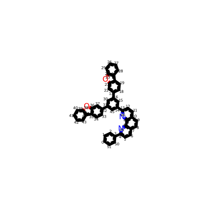 c1ccc(-c2ccc3ccc4ccc(-c5cc(-c6ccc7c(c6)oc6ccccc67)cc(-c6ccc7c(c6)oc6ccccc67)c5)nc4c3n2)cc1